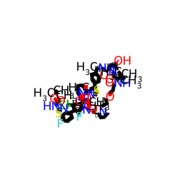 Cc1ncsc1-c1ccc([C@H](C)NC(=O)[C@@H]2C[C@@H](O)CN2C(=O)[C@@H](NC(=O)CCOCCCN2CCC[C@H]2COc2nc(N3CC4CCC(C3)N4C(=O)OC(C)(C)C)c3cc(Cl)c(-c4ccc(F)c5sc(NC(=O)OC(C)(C)C)nc45)c(F)c3n2)C(C)(C)C)cc1